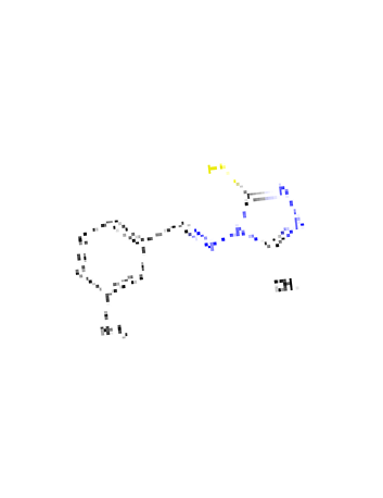 Cc1nnc(S)n1N=Cc1cccc([N+](=O)[O-])c1